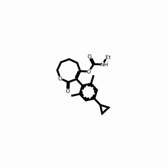 CCNC(=O)O/C1=C(\c2c(C)cc(C3CC3)cc2C)C(=O)OCCCC1